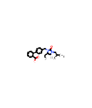 CCc1cn(CC(C)C)c(=O)n1Cc1ccc(-c2ccccc2C(=O)O)cc1